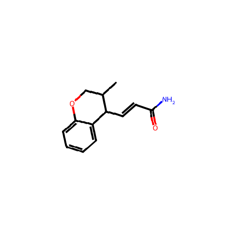 CC1COc2ccccc2C1C=CC(N)=O